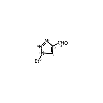 CCn1cc(C=O)nn1